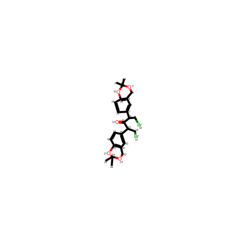 CC1(C)OCc2cc(C(CBr)C(=O)C(CBr)c3ccc4c(c3)COC(C)(C)O4)ccc2O1